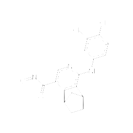 Cc1ccc(Nc2ncc(C(=O)N=O)c3c2C2CCC3C2)cc1Cl